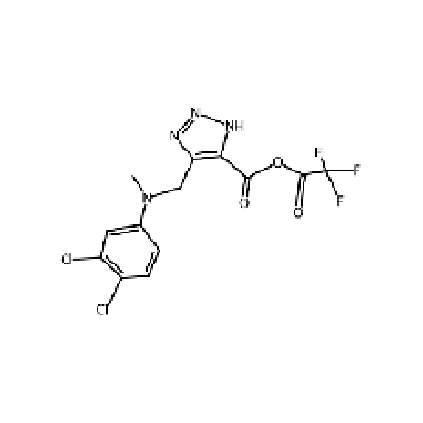 CN(Cc1nn[nH]c1C(=O)OC(=O)C(F)(F)F)c1ccc(Cl)c(Cl)c1